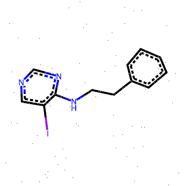 Ic1cncnc1NCCc1ccccc1